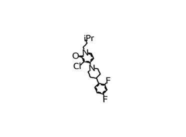 CC(C)CCn1ccc(N2CCC(c3ccc(F)cc3F)CC2)c(Cl)c1=O